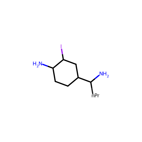 CCCC(N)C1CCC(N)C(I)C1